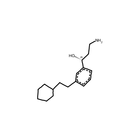 NCC[C@@H](O)c1cccc(CCC2CCCCC2)c1